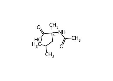 CC(=O)N[C@@](C)(CC(C)C)C(=O)O